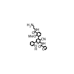 COc1c(C(=O)NCCN)cccc1-c1cc(-c2ccccc2O)nc(NC(=O)c2ccco2)c1C#N